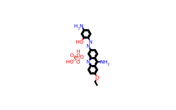 CCOc1ccc2nc3cc(N=Nc4ccc(N)cc4O)ccc3c(N)c2c1.O.O=S(=O)(O)O